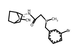 CN(CC(=O)N[C@@H]1CC2CCC1N2C#N)Cc1cccc(Br)c1